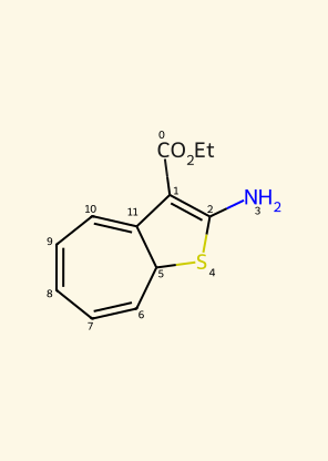 CCOC(=O)C1=C(N)SC2C=CC=CC=C12